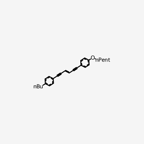 CCCCCOc1ccc(C#C/C=C/C#Cc2ccc(CCCC)cc2)cc1